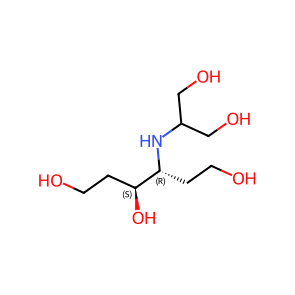 OCC[C@H](O)[C@@H](CCO)NC(CO)CO